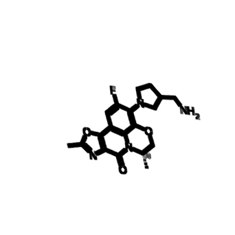 Cc1nc2c(=O)n3c4c(c(N5CCC(CN)C5)c(F)cc4c2o1)OC[C@@H]3C